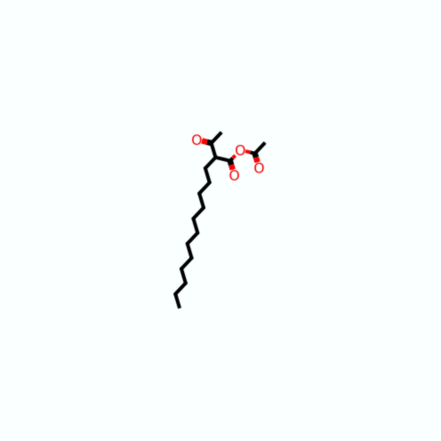 CCCCCCCCCCCCC(C(C)=O)C(=O)OC(C)=O